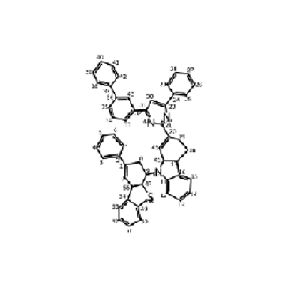 C1=C(c2ccccc2)CC(N2c3ccccc3C3CCC(c4nc(-c5ccccc5)cc(-c5cccc(-c6ccccc6)c5)n4)=CC32)C2Sc3ccccc3C12